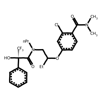 CCCN(CC(CC)Oc1ccc(C(=O)N(C)C)c(Cl)c1)C(=O)[C@](O)(c1ccccc1)C(F)(F)F